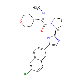 O=C(O)N[C@H](C(=O)N1CCC[C@H]1c1ncc(-c2ccc3cc(Br)ccc3c2)[nH]1)C1CCOCC1